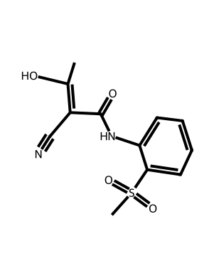 C/C(O)=C(/C#N)C(=O)Nc1ccccc1S(C)(=O)=O